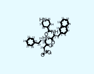 O=C(N[C@@H](Cc1ccc2ccccc2c1)C(=O)N[C@@H](CCc1ccccc1)C(=O)C[N+](=O)[O-])C1CCNCC1